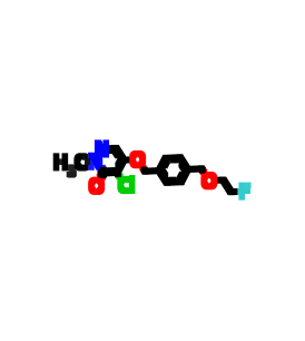 Cn1ncc(OCc2ccc(COCCF)cc2)c(Cl)c1=O